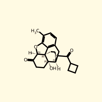 Cc1ccc2c3c1O[C@@H]1C(=O)CC[C@]4(O)[C@H](C2)N(C(=O)C2CCC2)CC[C@@]314